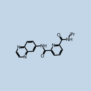 CC(C)NC(=O)c1cccc(C(=O)Nc2ccc3nccnc3c2)n1